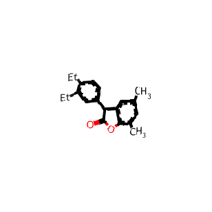 CCc1ccc(C2C(=O)Oc3c(C)cc(C)cc32)cc1CC